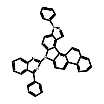 c1ccc(-c2nc(-n3c4ccc5c6ccccc6ccc5c4c4c5cnn(-c6ccccc6)c5ccc43)nc3ccccc23)cc1